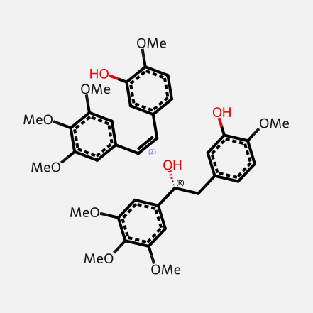 COc1ccc(/C=C\c2cc(OC)c(OC)c(OC)c2)cc1O.COc1ccc(C[C@@H](O)c2cc(OC)c(OC)c(OC)c2)cc1O